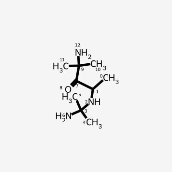 CC(NC(C)(C)N)C(=O)C(C)(C)N